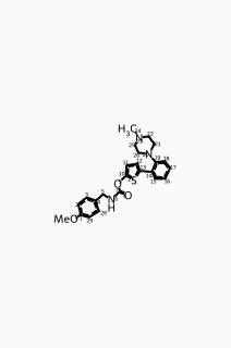 COc1ccc(CNC(=O)Oc2ccc(-c3ccccc3N3CCN(C)CC3)s2)cc1